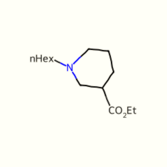 CCCCCCN1CCCC(C(=O)OCC)C1